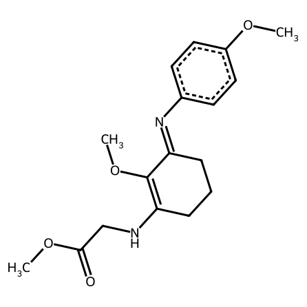 COC(=O)CNC1=C(OC)/C(=N/c2ccc(OC)cc2)CCC1